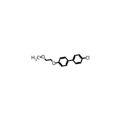 COCCOc1ccc(-c2ccc(Cl)cc2)cc1